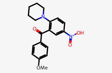 COc1ccc(C(=O)c2cc([N+](=O)O)ccc2N2CCCCC2)cc1